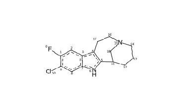 Fc1cc2c3c([nH]c2cc1Cl)C1CCCN(CC3)C1